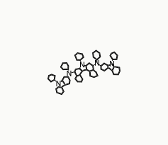 c1ccc(N(c2ccc3c4ccccc4n(-c4ccccc4)c3c2)c2cc3c(c4ccccc24)c2c4ccccc4c(N(c4ccccc4)c4ccc5c6ccccc6n(-c6ccccc6)c5c4)cc2n3-c2ccccc2)cc1